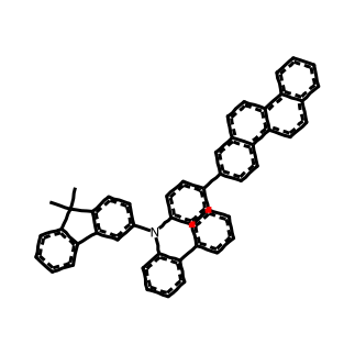 CC1(C)c2ccccc2-c2cc(N(c3ccc(-c4ccc5c(ccc6c7ccccc7ccc56)c4)cc3)c3ccccc3-c3ccccc3)ccc21